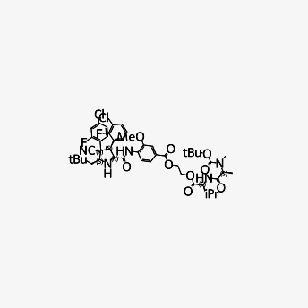 COc1cc(C(=O)OCCOC(=O)[C@@H](NC(=O)[C@H](C)N(C)C(=O)OC(C)(C)C)C(C)C)ccc1NC(=O)[C@@H]1N[C@@H](CC(C)(C)C)[C@](C#N)(c2ccc(Cl)cc2F)[C@H]1c1cccc(Cl)c1F